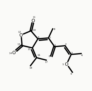 C=C(/C=C(/C)OC)/C(C)=C1/C(=O)OC(=O)C1=C(C)C